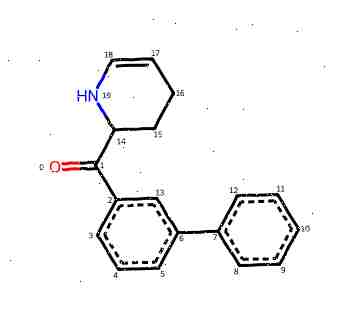 O=C(c1cccc(-c2ccccc2)c1)C1CCC=CN1